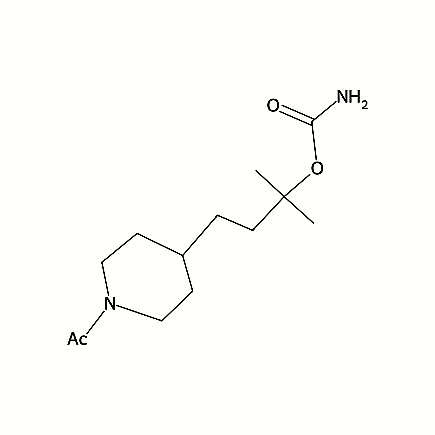 CC(=O)N1CCC(CCC(C)(C)OC(N)=O)CC1